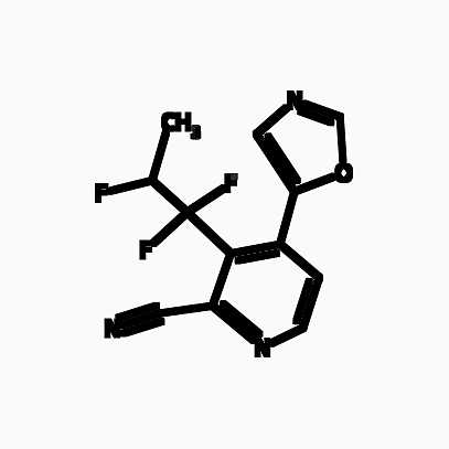 CC(F)C(F)(F)c1c(-c2cnco2)ccnc1C#N